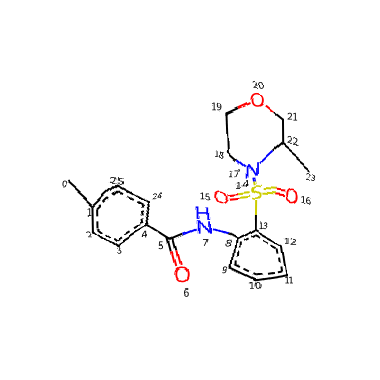 Cc1ccc(C(=O)Nc2ccccc2S(=O)(=O)N2CCOCC2C)cc1